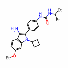 CCOc1ccc2c(N)c(-c3ccc(NC(=O)NC(CC)CC)cc3)n(C3CCC3)c2c1